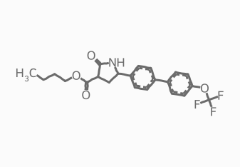 CCCCOC(=O)C1CC(c2ccc(-c3ccc(OC(F)(F)F)cc3)cc2)NC1=O